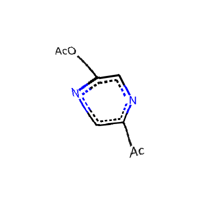 CC(=O)Oc1cnc(C(C)=O)cn1